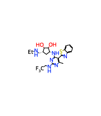 CCNC[C@H]1C[C@@H](Nc2nc(NCC(F)(F)F)nc(C)c2-c2nc3ccccc3s2)[C@H](O)[C@@H]1O